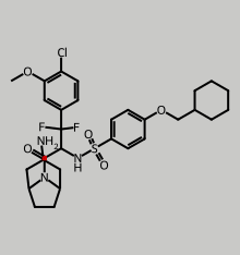 COc1cc(C(F)(F)C(NS(=O)(=O)c2ccc(OCC3CCCCC3)cc2)C(=O)N2C3CCC2CC(N)C3)ccc1Cl